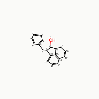 OC1C(Cc2ccccc2)c2cccc3c2C1CC=C3